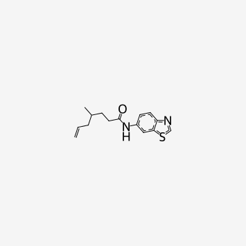 C=CCC(C)CCC(=O)Nc1ccc2ncsc2c1